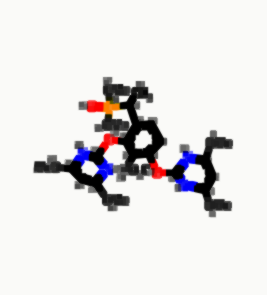 COc1cc(OC)nc(Oc2ccc(C(C)P(=O)(OC)OC)c(Oc3nc(OC)cc(OC)n3)c2C(=O)O)n1